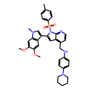 COc1cc2c(-c3cc4c(CNc5ccc(N6CCCCC6)cc5)ccnc4n3S(=O)(=O)c3ccc(C)cc3)cn(C)c2cc1OC